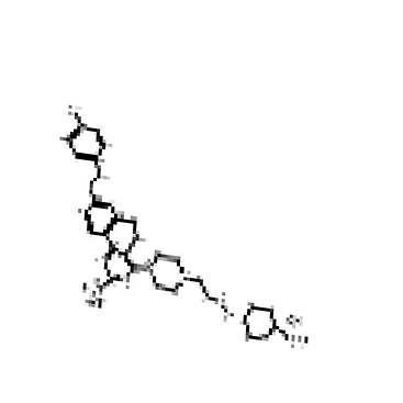 Cl.N#C[C@]1(C(=O)O)CC[C@H](COCCN2CCN(c3nc(N)nc4c3CCc3cc(OCc5ccc(Cl)cc5)ccc3-4)CC2)CC1